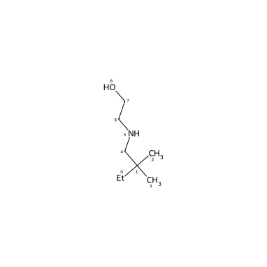 CCC(C)(C)CNCCO